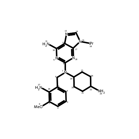 COc1cccc(CN(c2nc(N)c3ncn(C(C)C)c3n2)C2CCC(N)CC2)c1N